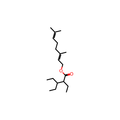 CCC(CC)C(CC)C(=O)OC/C=C(\C)CCC=C(C)C